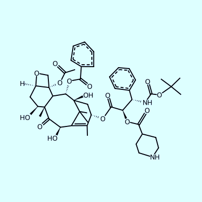 CC(=O)O[C@@]12CO[C@@H]1C[C@H](O)[C@@]1(C)C(=O)[C@H](O)C3=C(C)[C@@H](OC(=O)[C@H](OC(=O)C4CCNCC4)[C@@H](NC(=O)OC(C)(C)C)c4ccccc4)C[C@@](O)([C@@H](OC(=O)c4ccccc4)C12)C3(C)C